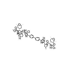 COC(=O)NC(C(=O)N1[C@H](C)C(C)C[C@H]1c1nc(-c2ccc(-c3ccc(-c4nc([C@@H]5C[C@H]6C[C@H]6N5C(=O)C(NC(=O)OC)[C@H]5C[C@@H](C)O[C@@H](C)C5)[nH]c4Cl)cc3)cc2)c[nH]1)[C@H]1C[C@@H](C)O[C@@H](C)C1